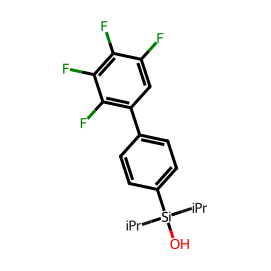 CC(C)[Si](O)(c1ccc(-c2cc(F)c(F)c(F)c2F)cc1)C(C)C